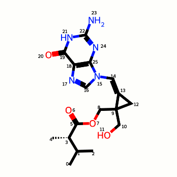 CC(C)[C@H](C)C(=O)OCC1(CO)C/C1=C/n1cnc2c(=O)[nH]c(N)nc21